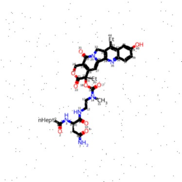 CCCCCCCC(=O)N[C@H](CC(N)=O)C(=O)NCCN(C)C(=O)O[C@]1(CC)C(=O)OCc2c1cc1n(c2=O)Cc2c-1nc1ccc(O)cc1c2CC